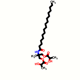 CCCCCCCCCCCCCCCCCC(=O)NC(C)(COC(=O)C(C)O)COC(=O)C(C)O